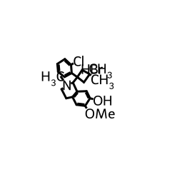 Br.COc1cc2c(cc1O)C(C1(c3ccccc3Cl)CC(C)(C)C1)N(C)CC2